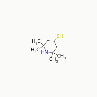 CC1(C)CC(S)CC(C)(C)N1